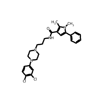 Cc1c(C(=O)NCCCN2CCN(c3ccc(Cl)c(Cl)c3)CC2)cc(-c2ccccc2)n1C